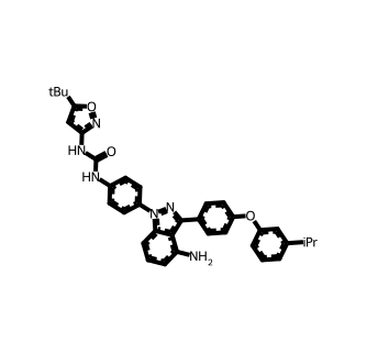 CC(C)c1cccc(Oc2ccc(-c3nn(-c4ccc(NC(=O)Nc5cc(C(C)(C)C)on5)cc4)c4cccc(N)c34)cc2)c1